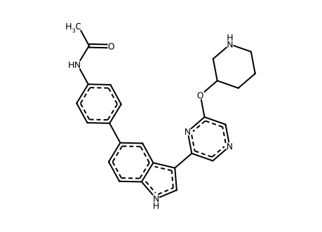 CC(=O)Nc1ccc(-c2ccc3[nH]cc(-c4cncc(OC5CCCNC5)n4)c3c2)cc1